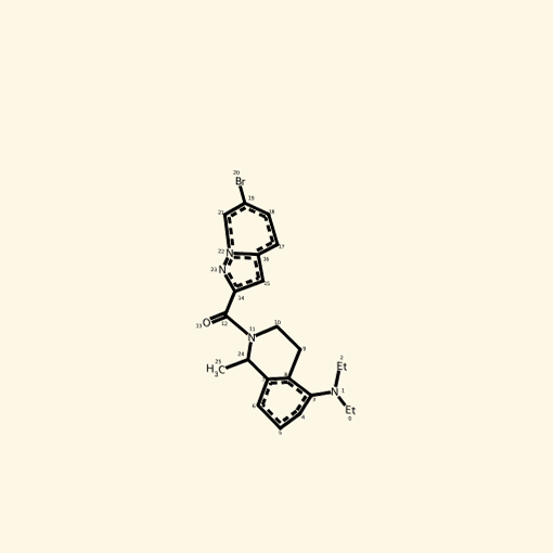 CCN(CC)c1cccc2c1CCN(C(=O)c1cc3ccc(Br)cn3n1)C2C